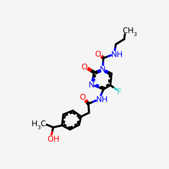 CCCNC(=O)n1cc(F)c(NC(=O)Cc2ccc(C(C)O)cc2)nc1=O